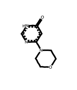 O=c1cc(N2CCOCC2)n[c][nH]1